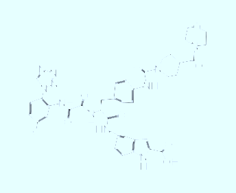 O=C(Nc1cc(Cl)ccc1-n1cnnn1)C(=O)N[C@@H](Cc1ccc(NC(=O)N2CCC(C(=O)N3CCOCC3)CC2)cc1)C(=O)Nc1ccc2[nH]c(C(=O)O)cc2c1